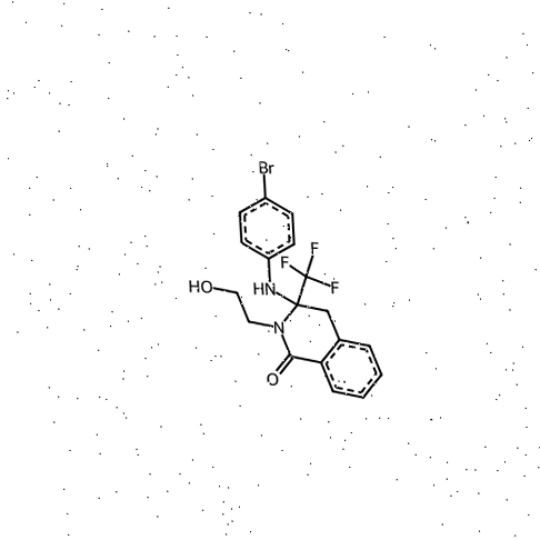 O=C1c2ccccc2CC(Nc2ccc(Br)cc2)(C(F)(F)F)N1CCO